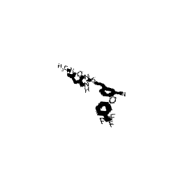 Cn1cc(Cc2c[nH]c(SCCc3ccc(Oc4cccc(C(F)(F)F)c4)c(C#N)c3)nc2=O)cn1